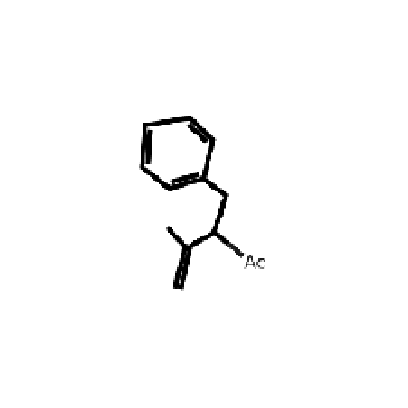 C=C(C)C(Cc1ccccc1)C(C)=O